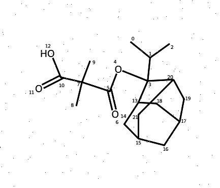 CC(C)C1(OC(=O)C(C)(C)C(=O)O)C2CC3CC(C2)CC1C3